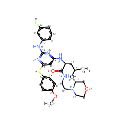 COc1ccc(Sc2cc(N[C@@H](CC(C)C)C(=O)NCCN3CCOCC3)nc(Nc3cccc(F)c3)n2)cc1